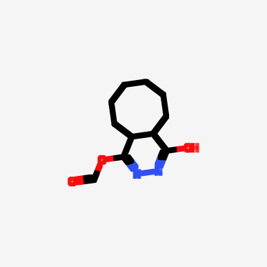 O=COC1=NN=C(O)C2CCCCCCC12